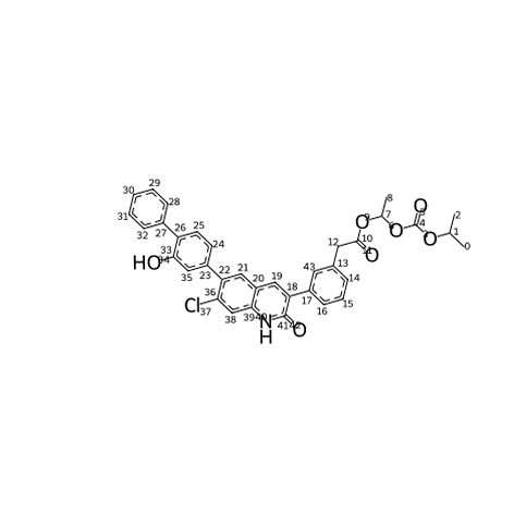 CC(C)OC(=O)OC(C)OC(=O)Cc1cccc(-c2cc3cc(-c4ccc(-c5ccccc5)c(O)c4)c(Cl)cc3[nH]c2=O)c1